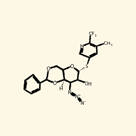 Cc1cc(S[C@H]2OC3COC(c4ccccc4)O[C@@H]3C(N=[N+]=[N-])C2O)cnc1C(F)(F)F